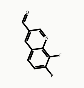 O=Cc1cnc2c(F)c(F)ccc2c1